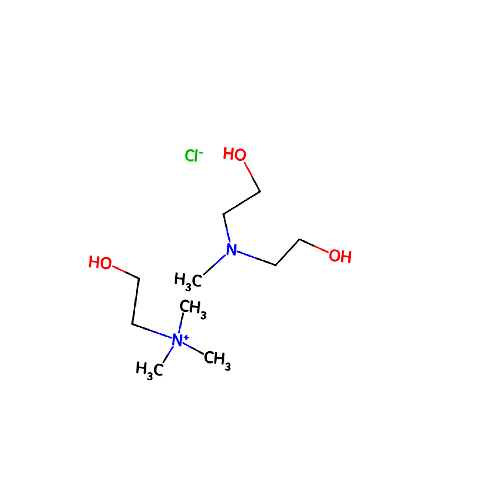 CN(CCO)CCO.C[N+](C)(C)CCO.[Cl-]